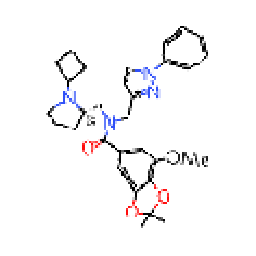 COc1cc(C(=O)N(Cc2ccn(-c3ccccc3)n2)C[C@@H]2CCCN2C2CCC2)cc2c1OC(C)(C)O2